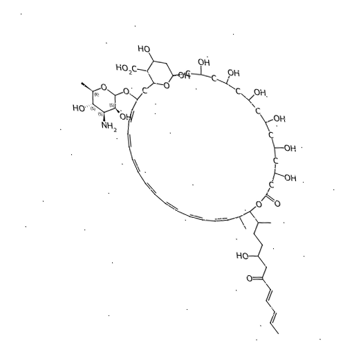 CC=CC=CC(=O)CC(O)CCC(C)C1OC(=O)CC(O)CC(O)CC(O)CC(O)CC(O)CC(O)CC2(O)CC(O)C(C(=O)O)C(CC(OC3O[C@H](C)[C@@H](O)[C@H](N)[C@@H]3O)C=CC=CC=CC=CC=CC=CC=CC1C)O2